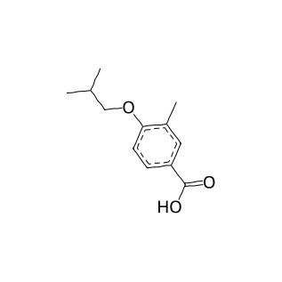 Cc1cc(C(=O)O)ccc1OCC(C)C